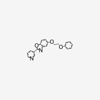 c1ccc(OCCOc2ccc3oc(-c4cccnc4)nc3c2)cc1